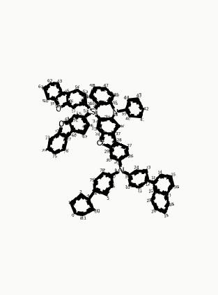 c1ccc(-c2ccc(N(c3ccc(-c4cccc5ccccc45)cc3)c3ccc4c(c3)oc3cc5c(cc34)N(c3ccccc3)c3ccccc3[Si]5(c3ccc4c(c3)oc3ccccc34)c3ccc4c(c3)oc3ccccc34)cc2)cc1